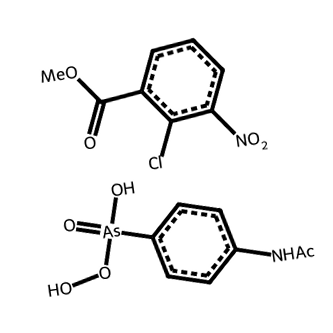 CC(=O)Nc1ccc([As](=O)(O)OO)cc1.COC(=O)c1cccc([N+](=O)[O-])c1Cl